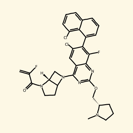 C=C(F)C(=O)N1CCC2[C@H]1CN2c1nc(OC[C@@H]2CCCN2C)nc2c(F)c(-c3cccc4cccc(Cl)c34)c(Cl)cc12